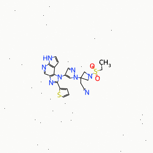 CCS(=O)(=O)N1CC(CC#N)(n2cc(-n3c(-c4cccs4)nc4cnc5[nH]ccc5c43)cn2)C1